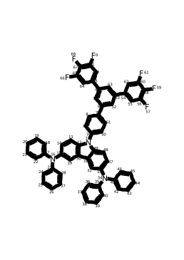 Fc1cc(-c2cc(-c3ccc(-n4c5ccc(N(c6ccccc6)c6ccccc6)cc5c5cc(N(c6ccccc6)c6ccccc6)ccc54)cc3)cc(-c3cc(F)c(F)c(F)c3)c2)cc(F)c1F